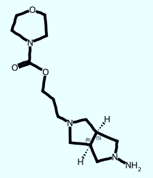 NN1C[C@@H]2CN(CCCOC(=O)N3CCOCC3)C[C@@H]2C1